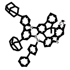 CC1(C)c2ccccc2-c2cc3c4c(c21)-c1c(ccc2sc5cc6ccccc6cc5c12)N(c1ccc(-c2ccccc2)cc1)B4c1cc(C24CC5CC(CC(C5)C2)C4)cc2c4cc(C56CC7CC(CC(C7)C5)C6)ccc4n-3c12